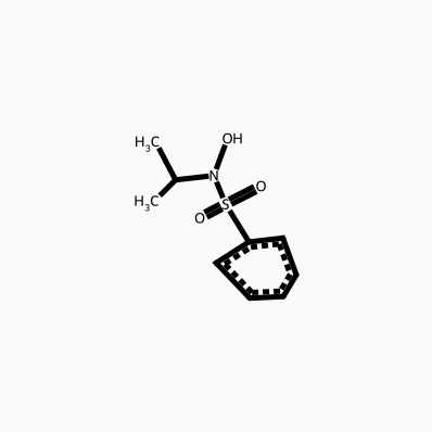 CC(C)N(O)S(=O)(=O)c1ccccc1